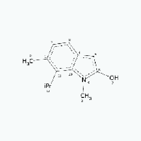 Cc1ccc2cc(O)n(C)c2c1C(C)C